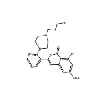 [C-]#[N+]CCCN1CCN(c2ncccc2-c2nc3cc(OC)cc(CC)c3c(=O)o2)CC1